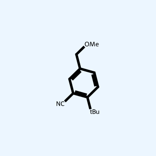 COCc1ccc(C(C)(C)C)c(C#N)c1